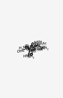 CCCCN(C(=O)NC(Cc1ccccc1)C(=O)N[C@@H](CCCNC(=N)N)C(=O)N[C@@H](Cc1c[nH]c2ccccc12)C(=O)NC(CCC=O)C(N)=O)C(=O)C(CCCNC)NC(=O)[C@H](CCCNC(=N)N)NC(C)=O